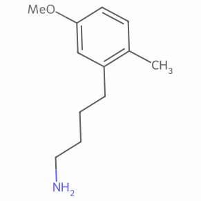 COc1ccc(C)c(CCCCN)c1